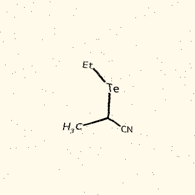 CC[Te]C(C)C#N